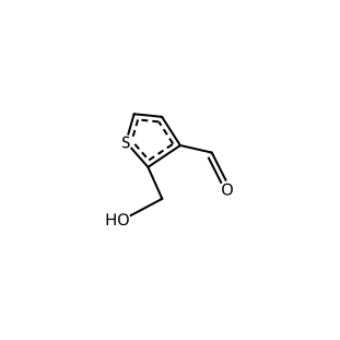 O=Cc1ccsc1CO